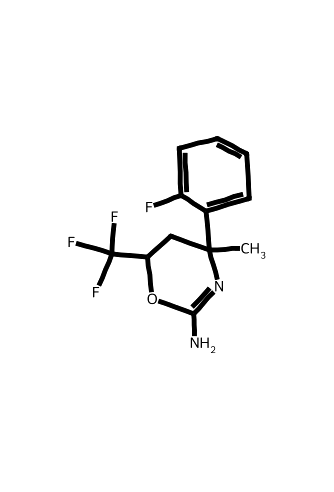 CC1(c2ccccc2F)CC(C(F)(F)F)OC(N)=N1